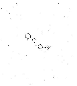 COc1cc(Nc2nc(-c3ccccc3F)cs2)ccc1-c1nc(C)c[nH]1